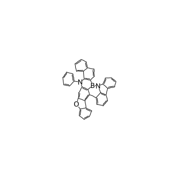 c1ccc(N2c3cc4oc5ccccc5c4c4c3B(c3ccc5ccccc5c32)n2c3ccccc3c3cccc-4c32)cc1